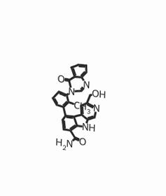 Cc1c(-c2ccc(C(N)=O)c3[nH]c4cnc(CO)cc4c23)cccc1-n1cnc2ccccc2c1=O